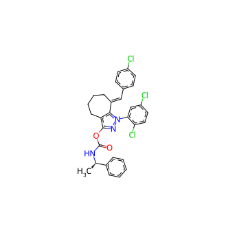 C[C@@H](NC(=O)Oc1nn(-c2cc(Cl)ccc2Cl)c2c1CCCC/C2=C\c1ccc(Cl)cc1)c1ccccc1